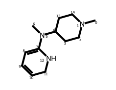 CN1CCC(N(C)C2=CC=[C]CN2)CC1